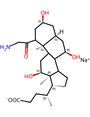 C[C@H](CCC(=O)[O-])[C@H]1CCC2C3C(C[C@H](O)[C@@]21C)[C@@]1(C)C(C(=O)CN)C[C@@H](O)C[C@H]1C[C@H]3O.[Na+]